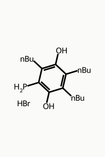 Br.CCCCc1c(O)c(CCCC)c(CCCC)c(O)c1P